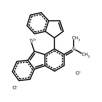 C[Si](C)=c1ccc2c(c1C1C=Cc3ccccc31)[C]([Ti+2])=c1ccccc1=2.[Cl-].[Cl-]